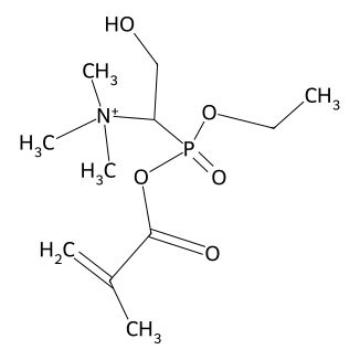 C=C(C)C(=O)OP(=O)(OCC)C(CO)[N+](C)(C)C